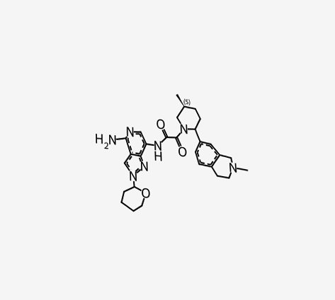 C[C@H]1CCC(c2ccc3c(c2)CN(C)CC3)N(C(=O)C(=O)Nc2cnc(N)c3cn(C4CCCCO4)nc23)C1